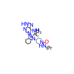 CC(C)NC(=O)N1CCC(n2c([C@H](C)Nc3ncnc4[nH]cnc34)nc3ccccc32)CC1